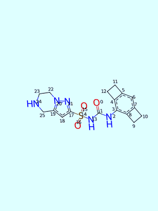 O=C(Nc1c2c(cc3c1CC3)CC2)NS(=O)(=O)c1cc2n(n1)CCNC2